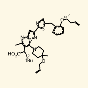 C=CCOC1(C)CCN(c2c(C(OC(C)(C)C)C(=O)O)c(C)nc3cc(-c4ncc(Cc5ccccc5O[C@H](C)CC=C)s4)nn23)CC1